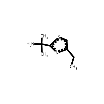 CCc1csc(C(C)(C)N)n1